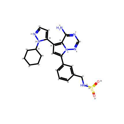 Nc1ncnn2c(-c3cccc(CN[SH](=O)=O)c3)cc(-c3ccnn3C3CCCCC3)c12